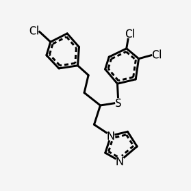 Clc1ccc(CCC(Cn2ccnc2)Sc2ccc(Cl)c(Cl)c2)cc1